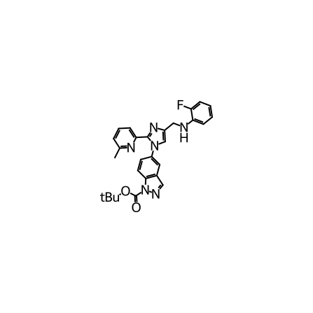 Cc1cccc(-c2nc(CNc3ccccc3F)cn2-c2ccc3c(cnn3C(=O)OC(C)(C)C)c2)n1